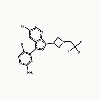 Nc1ncc(F)c(-c2cn(C3CN(CC(F)(F)F)C3)c3cnc(Br)cc23)n1